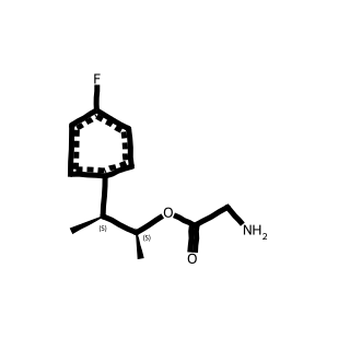 C[C@H](OC(=O)CN)[C@@H](C)c1ccc(F)cc1